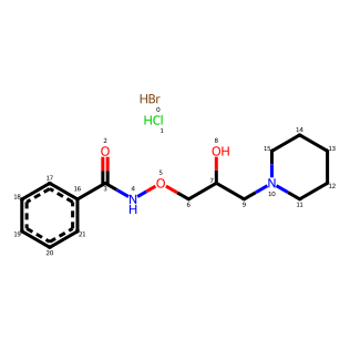 Br.Cl.O=C(NOCC(O)CN1CCCCC1)c1ccccc1